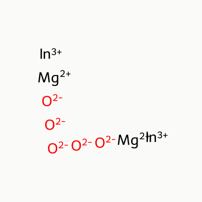 [In+3].[In+3].[Mg+2].[Mg+2].[O-2].[O-2].[O-2].[O-2].[O-2]